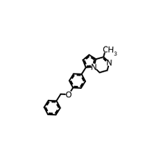 CC1=NCCn2c1ccc2-c1ccc(OCc2ccccc2)cc1